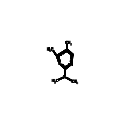 Cc1cnc(N(C)C)nc1C